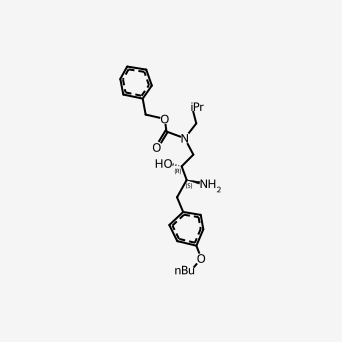 CCCCOc1ccc(C[C@H](N)[C@H](O)CN(CC(C)C)C(=O)OCc2ccccc2)cc1